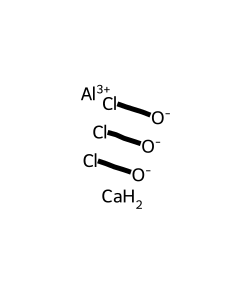 [Al+3].[CaH2].[O-]Cl.[O-]Cl.[O-]Cl